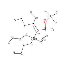 CCCCCC(C)(/C=[CH]\[Sn]([CH2]CCC)([CH2]CCC)[CH2]CCC)O[Si](C)(C)C